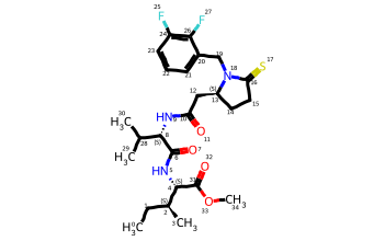 CC[C@H](C)[C@H](NC(=O)[C@@H](NC(=O)C[C@@H]1CCC(=S)N1Cc1cccc(F)c1F)C(C)C)C(=O)OC